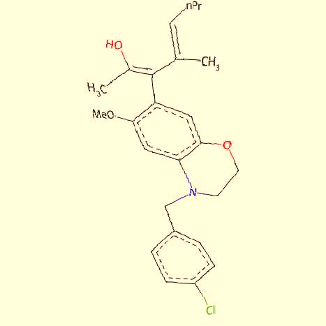 CCC/C=C(C)/C(=C(/C)O)c1cc2c(cc1OC)N(Cc1ccc(Cl)cc1)CCO2